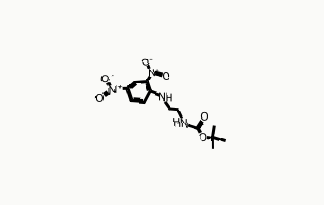 CC(C)(C)OC(=O)NCCNc1ccc([N+](=O)[O-])cc1[N+](=O)[O-]